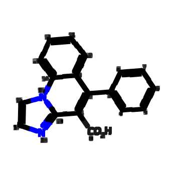 O=C(O)c1c(-c2ccccc2)c2ccccc2n2ccnc12